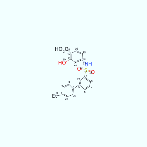 CCc1ccc(-c2cccc(S(=O)(=O)Nc3ccc(C(=O)O)c(O)c3)c2)cc1